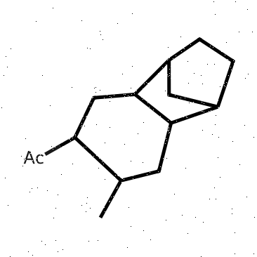 CC(=O)C1CC2C3CCC(C3)C2CC1C